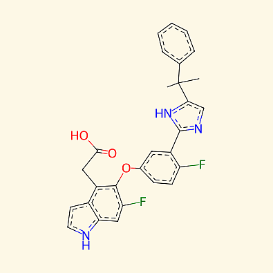 CC(C)(c1ccccc1)c1cnc(-c2cc(Oc3c(F)cc4[nH]ccc4c3CC(=O)O)ccc2F)[nH]1